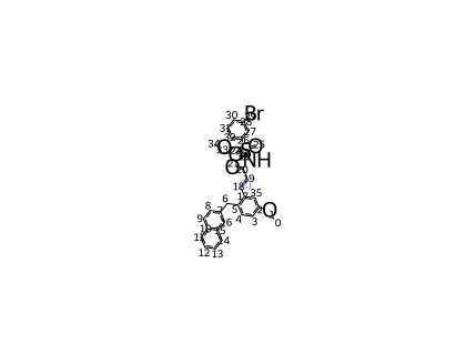 COc1ccc(Cc2ccc3ccccc3c2)c(/C=C/C(=O)NS(=O)(=O)c2cc(Br)ccc2OC)c1